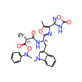 Cc1oc([C@@H](Cc2cn(C)c3ccccc23)NC(=O)[C@@H](C(=O)ON(C)c2ccccc2)C(C)C)nc1-c1noc(=O)[nH]1